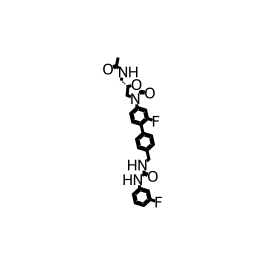 CC(=O)NC[C@H]1CN(c2ccc(-c3ccc(CNC(=O)Nc4cccc(F)c4)cc3)c(F)c2)C(=O)O1